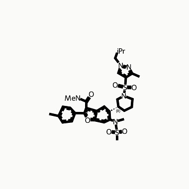 CNC(=O)c1c(-c2ccc(C)cc2)oc2cc(N(C)S(C)(=O)=O)c([C@H]3CCCN(S(=O)(=O)c4cn(CC(C)C)nc4C)C3)cc12